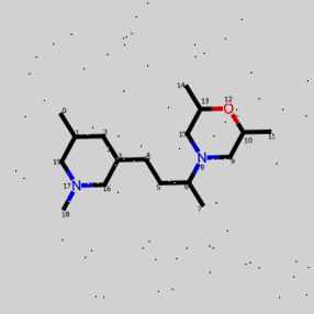 CC1CC(CCC(C)N2CC(C)OC(C)C2)CN(C)C1